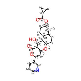 C[C@@H]1C2CC[C@@]3(C)O[C@@]4(C)C=C(c5cccnc5)OC(=O)C4[C@H](O)C3[C@@]2(C)CC[C@@H]1OC(=O)C1CC1